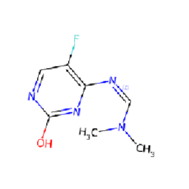 CN(C)/C=N\c1nc(O)ncc1F